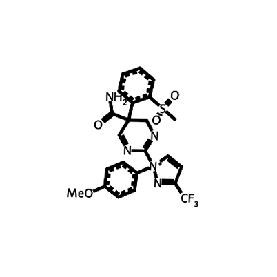 COc1ccc([N+]2(C3=NCC(C(N)=O)(c4ccccc4S(C)(=O)=O)C=N3)C=CC(C(F)(F)F)=N2)cc1